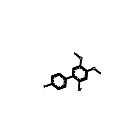 COc1cc(Br)c(-c2ccc(F)cc2)cc1OC